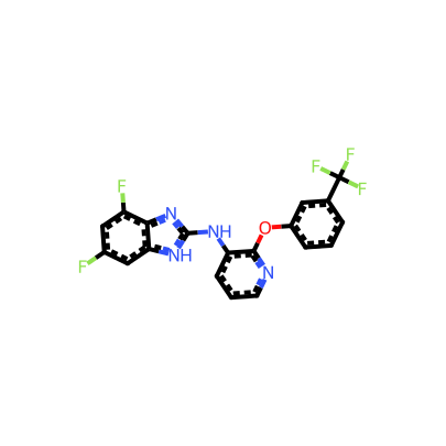 Fc1cc(F)c2nc(Nc3cccnc3Oc3cccc(C(F)(F)F)c3)[nH]c2c1